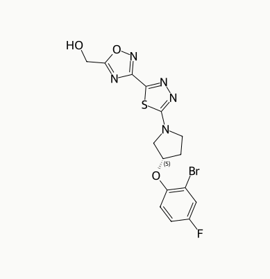 OCc1nc(-c2nnc(N3CC[C@H](Oc4ccc(F)cc4Br)C3)s2)no1